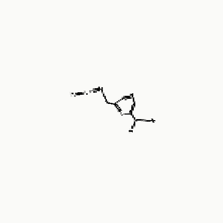 [N-]=[N+]=NCc1cccc(C(F)F)n1